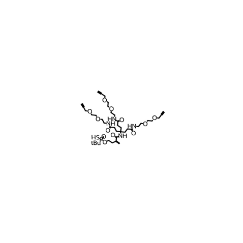 C#CCOCCOCCNC(=O)CCC(CCC(=O)NCCOCCOCC#C)(CCC(=O)NCCOCCOCC#C)NC(=O)C(=C)CCOP(=O)(S)C(C)(C)C